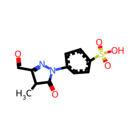 CC1C(=O)N(c2ccc(S(=O)(=O)O)cc2)N=C1C=O